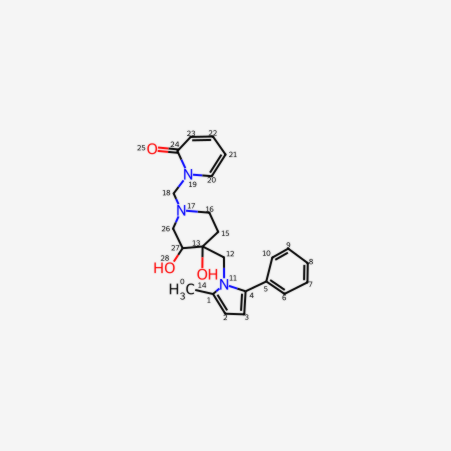 Cc1ccc(-c2ccccc2)n1CC1(O)CCN(Cn2ccccc2=O)CC1O